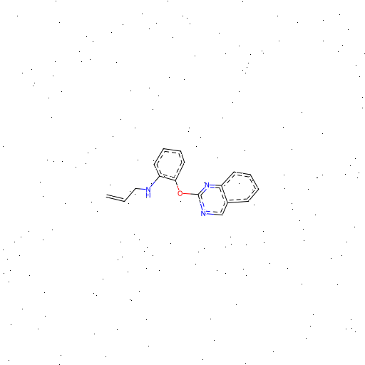 C=CCNc1ccccc1Oc1ncc2ccccc2n1